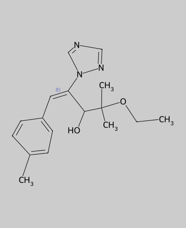 CCOC(C)(C)C(O)/C(=C\c1ccc(C)cc1)n1cncn1